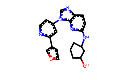 OC1CCCC(Nc2ccc3ncn(-c4ccnc(-c5ccoc5)c4)c3n2)C1